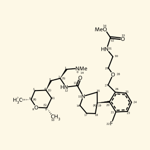 CNC[C@H](C[C@@H]1C[C@@H](C)O[C@@H](C)C1)NC(=O)N1CCC[C@H](c2c(F)cccc2COCCNC(=O)OC)C1